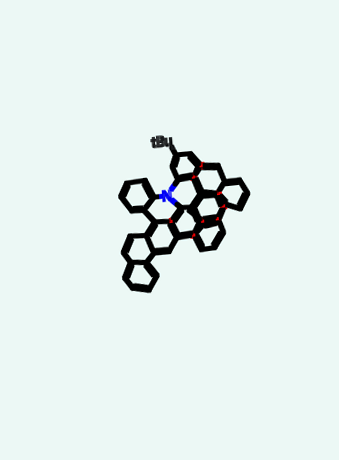 CC(C)(C)c1ccc(-c2ccccc2)c(N(c2ccccc2-c2cccc3c2ccc2ccccc23)c2ccccc2-c2cccc3cccc(-c4ccccc4)c23)c1